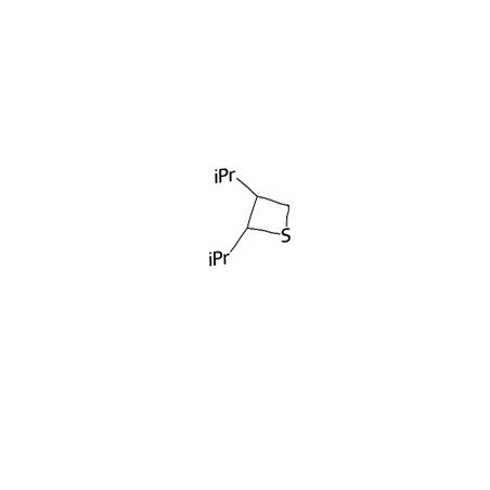 CC(C)C1CSC1C(C)C